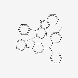 Cc1ccc(N(c2ccccc2)c2ccc3c(c2)C2(c4ccccc4-3)c3ccccc3-c3c2ccc2c3sc3ccccc32)cc1